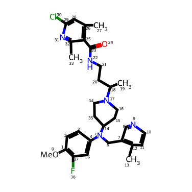 COc1ccc(N(Cc2cnccc2C)C2CCN(C(C)CCNC(=O)c3c(C)cc(Cl)nc3C)CC2)cc1F